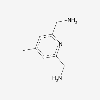 Cc1cc(CN)nc(CN)c1